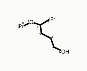 CC(C)OC(CCCO)C(C)C